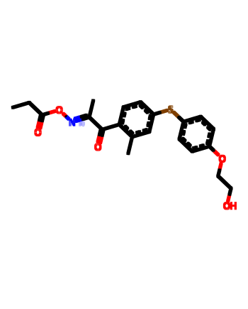 CCC(=O)O/N=C(\C)C(=O)c1ccc(Sc2ccc(OCCO)cc2)cc1C